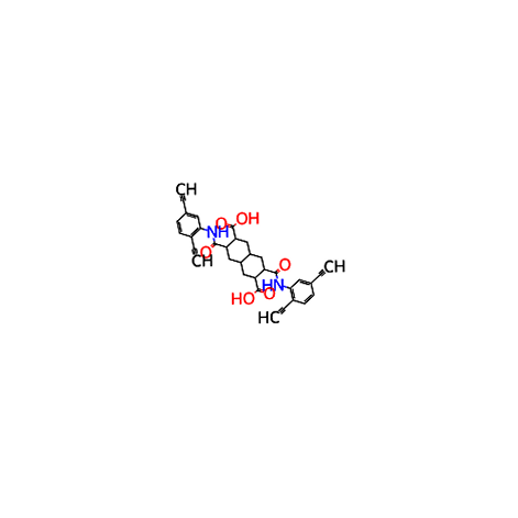 C#Cc1ccc(C#C)c(NC(=O)C2CC3CC(C(=O)O)C(C(=O)Nc4cc(C#C)ccc4C#C)CC3CC2C(=O)O)c1